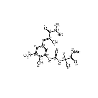 CCN(CC)C(=O)/C(C#N)=C/c1cc(OC(=O)OC(C)(CC)C(=O)OC)c(O)c([N+](=O)[O-])c1